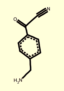 N#CC(=O)c1ccc(CN)cc1